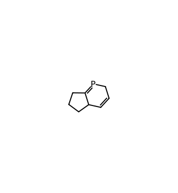 C1=CC2CCCC2=PC1